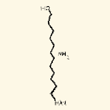 CCCCCCCCCCCCCCCCCCCCO.N